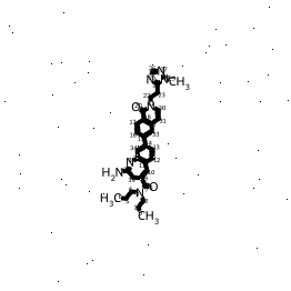 CCCN(CCC)C(=O)C1=Cc2ccc(-c3ccc4c(=O)n(CCc5ncnn5C)ccc4c3)cc2N=C(N)C1